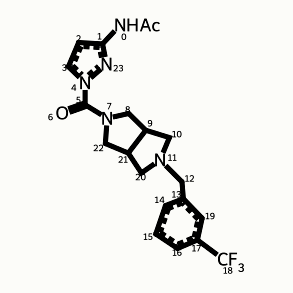 CC(=O)Nc1ccn(C(=O)N2CC3CN(Cc4cccc(C(F)(F)F)c4)CC3C2)n1